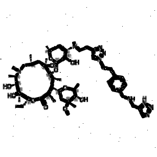 CC[C@H]1OC(=O)[C@H](C)C([C@H]2C[C@@](C)(OC)[C@@H](O)[C@H](C)O2)[C@H](C)[C@@H](O[C@@H]2O[C@H](C)C[C@H](N(C)CCc3cn(CCc4ccc(CNCc5cnn[nH]5)cc4)nn3)[C@H]2O)[C@](C)(O)C[C@@H](C)CN(C)[C@H](C)[C@@H](O)[C@]1(C)O